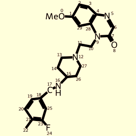 COc1ccc2ncc(=O)n(CCN3CCC(NCc4ccc(C)c(F)c4)CC3)c2c1